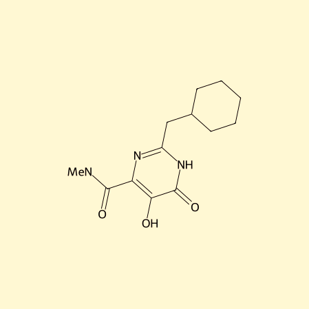 CNC(=O)c1nc(CC2CCCCC2)[nH]c(=O)c1O